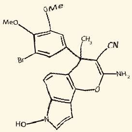 COc1cc(C2(C)C(C#N)=C(N)Oc3c2ccc2c3ccn2O)cc(Br)c1OC